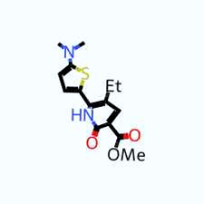 CCc1cc(C(=O)OC)c(=O)[nH]c1-c1ccc(N(C)C)s1